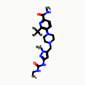 [2H]C([2H])([2H])c1nc(C(=O)NC)ccc1N1CCN(Cc2cc(NC(=O)NCC)nn2C)CC1